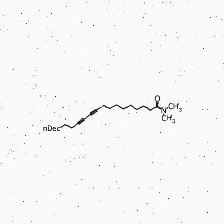 CCCCCCCCCCCCC#CC#CCCCCCCCCC(=O)N(C)C